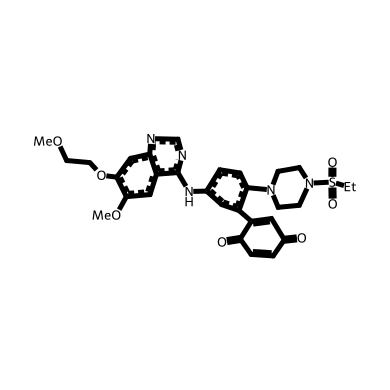 CCS(=O)(=O)N1CCN(c2ccc(Nc3ncnc4cc(OCCOC)c(OC)cc34)cc2C2=CC(=O)C=CC2=O)CC1